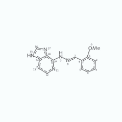 COc1ccccc1/C=N/Nc1ncnc2[nH]cnc12